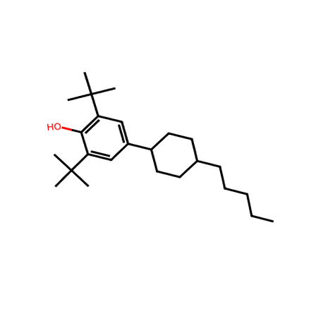 CCCCCC1CCC(c2cc(C(C)(C)C)c(O)c(C(C)(C)C)c2)CC1